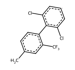 [CH2]c1ccc(-c2c(Cl)c[c]cc2Cl)c(C(F)(F)F)c1